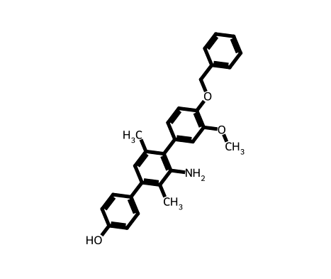 COc1cc(-c2c(C)cc(-c3ccc(O)cc3)c(C)c2N)ccc1OCc1ccccc1